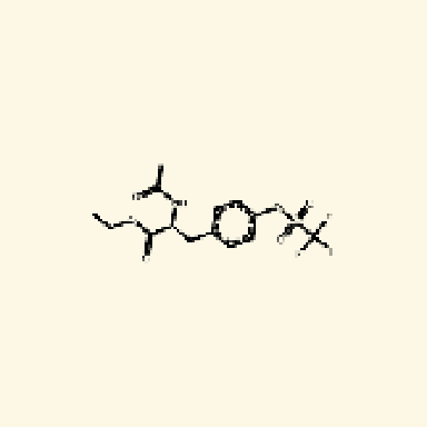 CCOC(=O)[C@H](Cc1ccc(OS(=O)(=O)C(F)(F)F)cc1)NC(C)=O